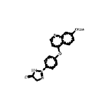 COc1ccc2c(Oc3ccc(S4=NCC(=O)N4)cc3)ccnc2c1